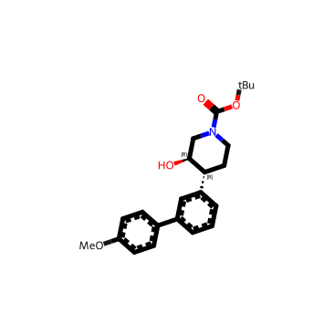 COc1ccc(-c2cccc([C@H]3CCN(C(=O)OC(C)(C)C)C[C@@H]3O)c2)cc1